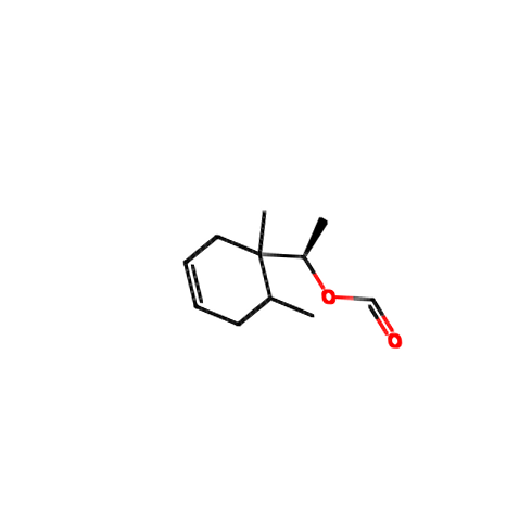 CC1CC=CCC1(C)[C@@H](C)OC=O